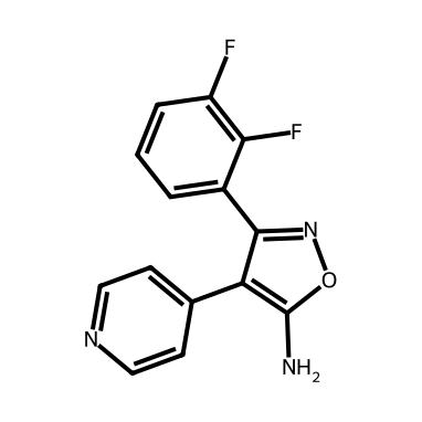 Nc1onc(-c2cccc(F)c2F)c1-c1ccncc1